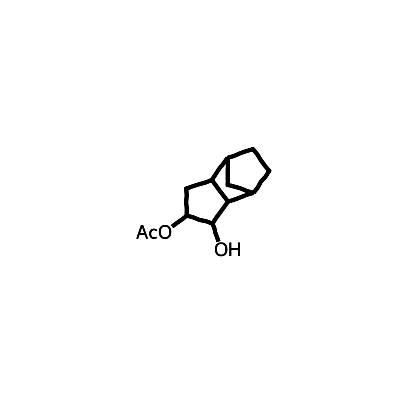 CC(=O)OC1CC2C3CCC(C3)C2C1O